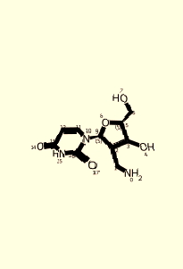 NCC1C(O)[C@H](CO)O[C@@H]1n1ccc(=O)[nH]c1=O